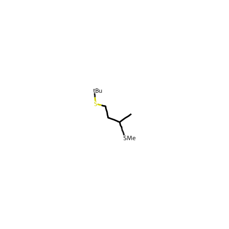 CS[C](C)CCSC(C)(C)C